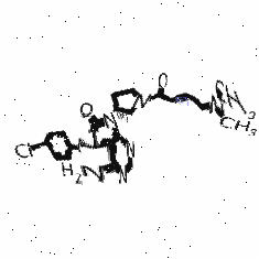 CN(C)C/C=C/C(=O)N1CC[C@@H](n2c(=O)n(-c3ccc(Cl)cc3)c3c(N)ncnc32)C1